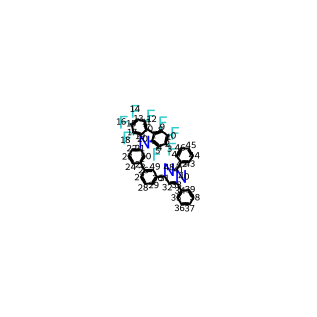 Fc1c(F)c(F)c2c(c1F)c1c(F)c(F)c(F)c(F)c1n2-c1cccc(-c2cccc(-c3cc(-c4ccccc4)nc(-c4ccccc4)n3)c2)c1